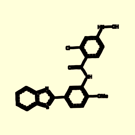 COc1ccc(-c2nc3ccccc3s2)cc1NC(=O)c1ccc(NO)cc1Cl